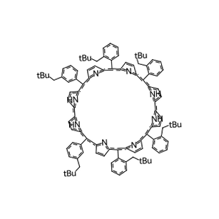 CC(C)(C)Cc1cccc(-c2c3nc(c(-c4ccccc4CC(C)(C)C)c4nc(c(-c5ccccc5CC(C)(C)C)c5ccc([nH]5)c5ccc([nH]5)c(-c5ccccc5CC(C)(C)C)c5nc(c(-c6ccccc6CC(C)(C)C)c6nc(c(-c7cccc(CC(C)(C)C)c7)c7ccc([nH]7)c7ccc2[nH]7)C=C6)C=C5)C=C4)C=C3)c1